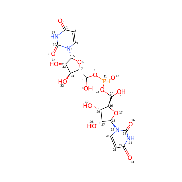 O=c1ccn([C@@H]2O[C@H](C(O)O[PH](=O)OC(O)[C@H]3O[C@@H](n4ccc(=O)[nH]c4=O)[C@H](O)[C@@H]3O)[C@@H](O)[C@H]2O)c(=O)[nH]1